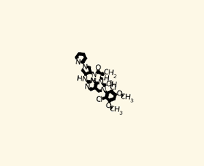 C=CC(=O)NC1CN(c2ccccn2)CC1Nc1ncc2c(n1)N(C)C(O)N(c1c(Cl)c(OC)cc(OC)c1Cl)C2